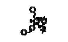 CC(C)(C)OC(=O)N1CSC(C)(C)[C@H]1C(=O)N[C@H](CCC1CCCCC1)C(=S)NC1CCN(Cc2ccccc2)CC1